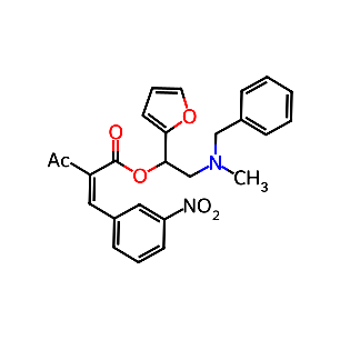 CC(=O)C(=Cc1cccc([N+](=O)[O-])c1)C(=O)OC(CN(C)Cc1ccccc1)c1ccco1